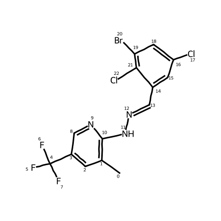 Cc1cc(C(F)(F)F)cnc1N/N=C/c1cc(Cl)cc(Br)c1Cl